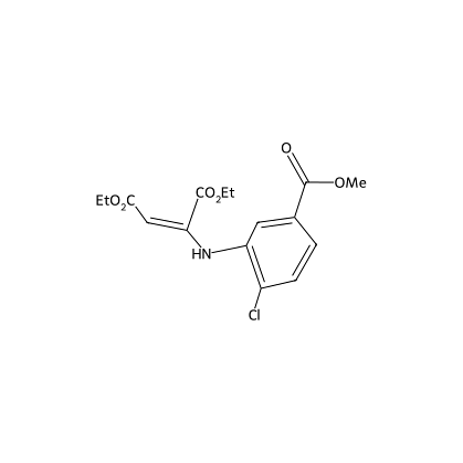 CCOC(=O)/C=C(/Nc1cc(C(=O)OC)ccc1Cl)C(=O)OCC